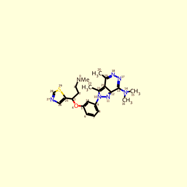 CNCCC(Oc1cccc(-n2nc3c(N(C)C)nnc(C)c3c2C)c1)c1cncs1